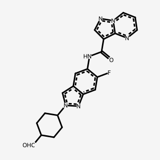 O=CC1CCC(n2cc3cc(NC(=O)c4cnn5cccnc45)c(F)cc3n2)CC1